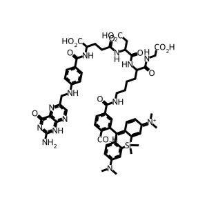 CN(C)c1ccc2c(c1)[Si](C)(C)C1=CC(=[N+](C)C)C=CC1=C2c1cc(C(=O)NCCCCC(NC(=O)C(CC(=O)O)NC(=O)CCC(NC(=O)c2ccc(NCc3cnc4[nH]c(N)nc(=O)c4n3)cc2)C(=O)O)C(=O)NCC(=O)O)ccc1C(=O)O